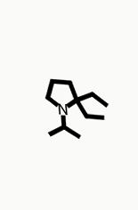 CCC1(CC)CCCN1C(C)C